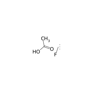 CC(=O)O.[C]F